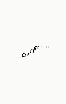 CCCCCC1CSB([C@H]2CC[C@H](C(=O)OC3CCC(CCC)CC3)CC2)SC1